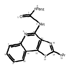 CCCCCC(=O)Nc1nc2ccccc2c2sc(CCC)nc12